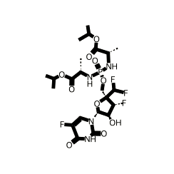 CC(C)OC(=O)[C@H](C)NP(=O)(N[C@@H](C)C(=O)OC(C)C)OC[C@@]1(C(F)F)O[C@@H](n2cc(F)c(=O)[nH]c2=O)[C@H](O)[C@H]1F